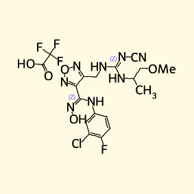 COCC(C)N/C(=N\C#N)NCc1nonc1/C(=N/O)Nc1ccc(F)c(Cl)c1.O=C(O)C(F)(F)F